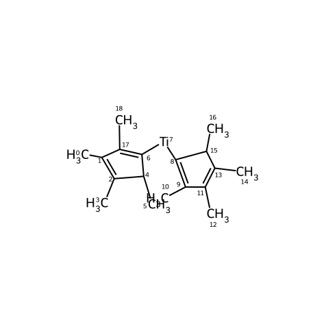 CC1=C(C)C(C)[C]([Ti][C]2=C(C)C(C)=C(C)C2C)=C1C